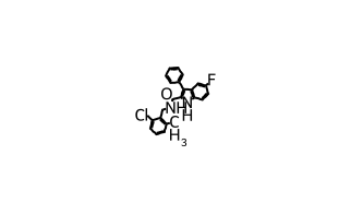 Cc1cccc(Cl)c1CNC(=O)c1[nH]c2ccc(F)cc2c1-c1ccccc1